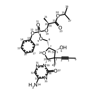 CC#CC1(F)[C@@H](O)[C@@H](COP(=O)(Oc2ccccc2)O[C@@H](C)C(=O)OC(C)C)O[C@H]1n1ncc(N)nc1=O